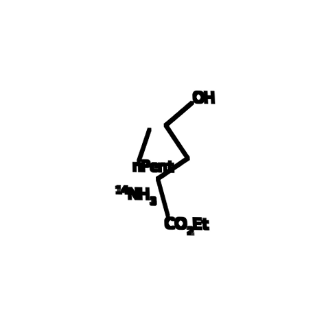 CCCCCC.CCOC(=O)CCCO.[14NH3]